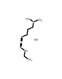 CCNN=C=NCCCN(C)C.Cl